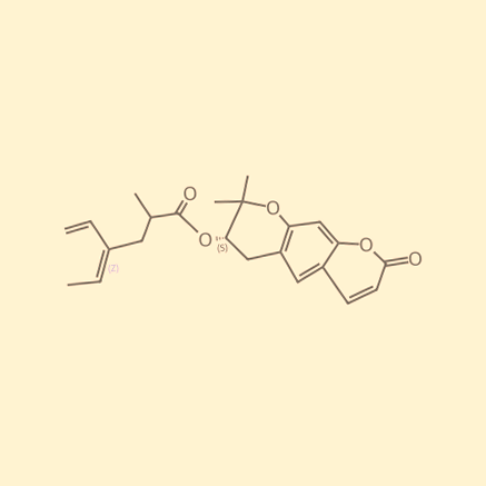 C=C/C(=C\C)CC(C)C(=O)O[C@H]1Cc2cc3ccc(=O)oc3cc2OC1(C)C